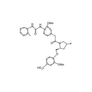 COc1cc(CC(=O)N2CC(F)C[C@H]2COc2ccc(C(=O)O)cc2OC)ccc1NC(=O)Nc1ccccc1C